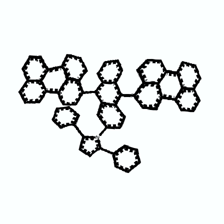 c1ccc(-c2ccc(-c3ccccc3)n2-c2ccc3c(-c4ccc5c6cccc7cccc(c8cccc4c85)c76)c4ccccc4c(-c4ccc5c6cccc7cccc(c8cccc4c85)c76)c3c2)cc1